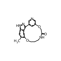 Cc1cc2[nH]nc3c2cc1OCCCNC(=O)COc1cncc-3c1